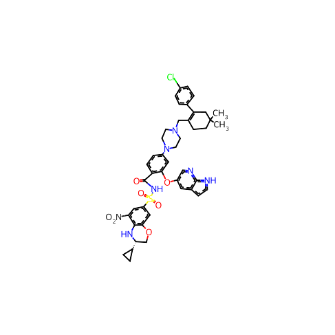 CC1(C)CCC(CN2CCN(c3ccc(C(=O)NS(=O)(=O)c4cc5c(c([N+](=O)[O-])c4)N[C@@H](C4CC4)CO5)c(Oc4cnc5[nH]ccc5c4)c3)CC2)=C(c2ccc(Cl)cc2)C1